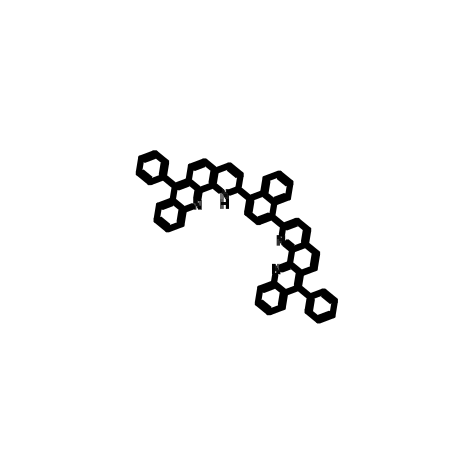 C1=CC(c2ccc(-c3ccc4ccc5c(-c6ccccc6)c6ccccc6nc5c4n3)c3ccccc23)Nc2c1ccc1c(-c3ccccc3)c3ccccc3nc21